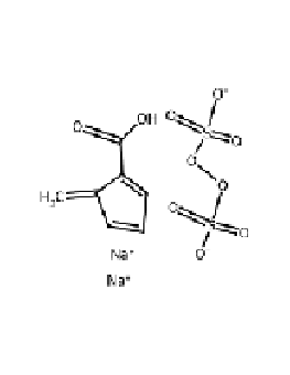 C=C1C=CC=C1C(=O)O.O=S(=O)([O-])OOS(=O)(=O)[O-].[Na+].[Na+]